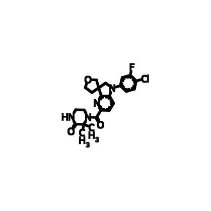 CC1(C)C(=O)NCCN1C(=O)c1ccc2c(n1)C1(CCOC1)CN2c1ccc(Cl)c(F)c1